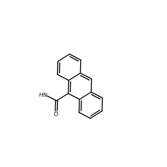 [NH]C(=O)c1c2ccccc2cc2ccccc12